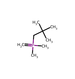 C=P(C)(C)CC(C)(C)C